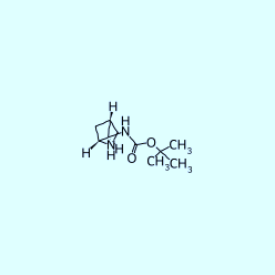 CC(C)(C)OC(=O)N[C@@H]1[C@H]2CN[C@@H]1C2